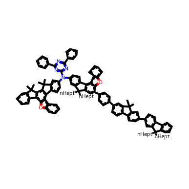 CCCCCCCC1(CCCCCCC)c2ccccc2-c2ccc(-c3ccc4c(c3)C(C)(C)c3cc(-c5ccc(-c6cc7c(c8c6oc6ccccc68)-c6ccc(N(c8ccc9c(c8)C(C)(C)c8c%10c(c%11oc%12ccccc%12c%11c8-9)-c8ccccc8C%10(C)C)c8nc(-c9ccccc9)nc(-c9ccccc9)n8)cc6C7(CCCCCCC)CCCCCCC)cc5)ccc3-4)cc21